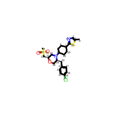 Cc1cnc(C2CCC(N3C[C@H](CS(C)(=O)=O)OC[C@@H]3Cc3ccc(Cl)cc3)CC2)s1